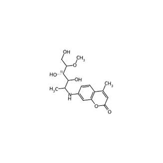 COC(CO)[C@@H](O)C(O)C(C)Nc1ccc2c(C)cc(=O)oc2c1